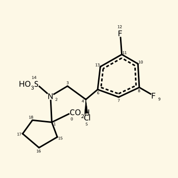 O=C(O)C1(N(C[C@H](Cl)c2cc(F)cc(F)c2)S(=O)(=O)O)CCCC1